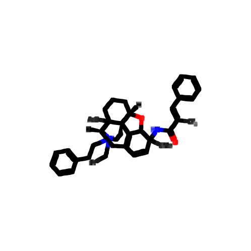 COC1(NC(=O)C(=Cc2ccccc2)C(F)(F)F)C=CC2=C3C1O[C@H]1CCCC4(OC(C)=O)[C@@H](C2)[N+](CCc2ccccc2)(CC(C)C)CC[C@]314